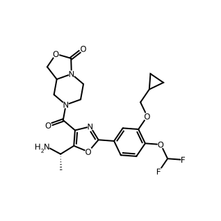 C[C@H](N)c1oc(-c2ccc(OC(F)F)c(OCC3CC3)c2)nc1C(=O)N1CCN2C(=O)OCC2C1